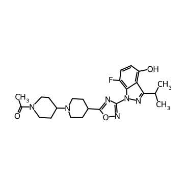 CC(=O)N1CCC(N2CCC(c3nc(-n4nc(C(C)C)c5c(O)ccc(F)c54)no3)CC2)CC1